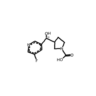 O=C(O)N1CCC([C@H](O)c2cncc(F)c2)C1